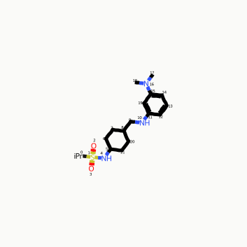 CC(C)S(=O)(=O)NC1CCC(CNc2cccc(N(C)C)c2)CC1